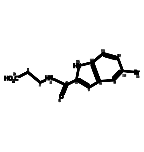 O=C(O)CCNC(=O)c1cc2cc(Br)ccc2[nH]1